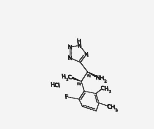 Cc1ccc(F)c([C@@H](C)[C@H](N)c2nn[nH]n2)c1C.Cl